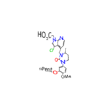 CCCCCOc1cc(N2CCC(C)N(Cc3ccnc4c3c(Cl)cn4CC(=O)O)C2=O)ccc1OC